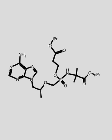 CCCOC(=O)C(C)(C)NP(=O)(CO[C@@H](C)Cn1cnc2c(N)ncnc21)OCCC(=O)OC(C)C